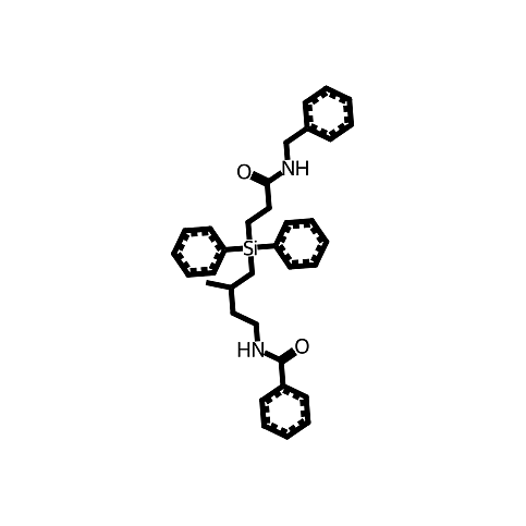 CC(CCNC(=O)c1ccccc1)C[Si](CCC(=O)NCc1ccccc1)(c1ccccc1)c1ccccc1